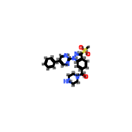 CS(=O)(=O)c1nn(-c2ncc(-c3ccccc3)cn2)c2cc(C(=O)N3CCNCC3)ccc12